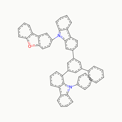 c1ccc(-c2cc(-c3ccc4c5ccccc5n(-c5ccc6oc7ccccc7c6c5)c4c3)cc(-c3cccc4c5ccccc5n(-c5ccccc5)c34)c2)cc1